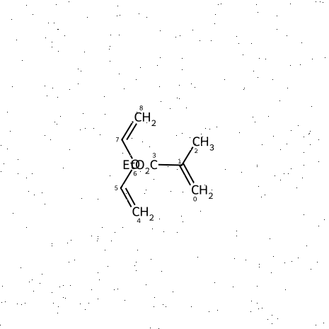 C=C(C)C(=O)OCC.C=COC=C